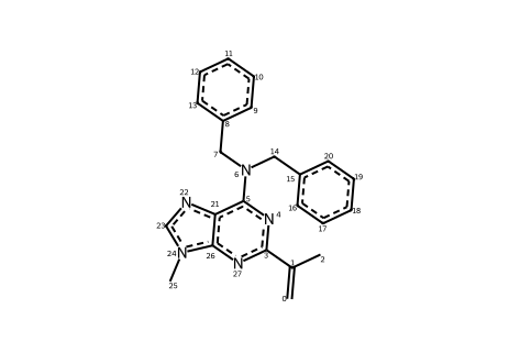 C=C(C)c1nc(N(Cc2ccccc2)Cc2ccccc2)c2ncn(C)c2n1